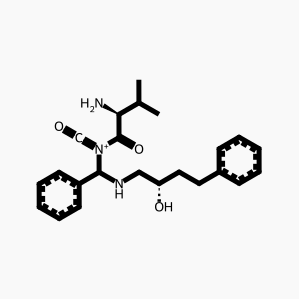 CC(C)[C@H](N)C(=O)[N+](=C=O)C(NC[C@@H](O)CCc1ccccc1)c1ccccc1